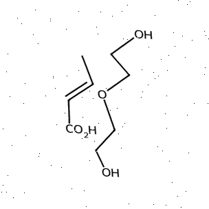 CC=CC(=O)O.OCCOCCO